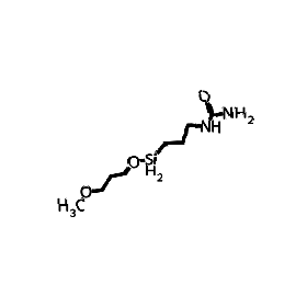 COCCCO[SiH2]CCCNC(N)=O